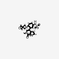 Cn1cc(-c2cc(NS(C)(=O)=O)ccc2N2CC3(COC3)C2)c2cc[nH]c2c1=O